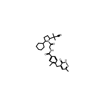 Cc1cc(Cc2ccc(C(=O)NCC(=O)N3C(C4CCCCC4)CCC3C(C)(C)C#N)cc2C)c(=O)[nH]n1